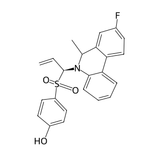 C=C[C@@H](N1c2ccccc2-c2ccc(F)cc2C1C)S(=O)(=O)c1ccc(O)cc1